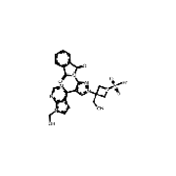 CC(C)S(=O)(=O)N1CC(CC#N)(n2cc(-c3ncnc4c3ccn4CO)c(N3C(=O)c4ccccc4C3=O)n2)C1